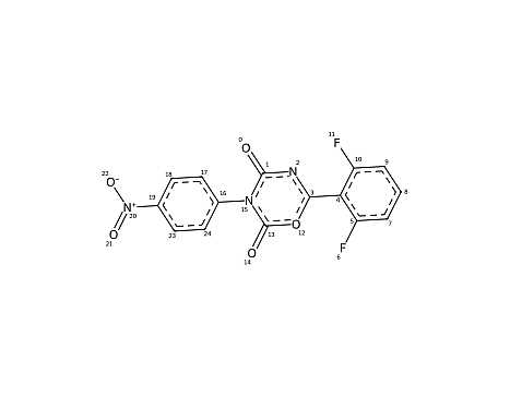 O=c1nc(-c2c(F)cccc2F)oc(=O)n1-c1ccc([N+](=O)[O-])cc1